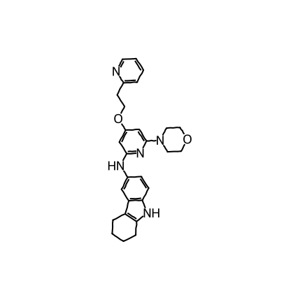 c1ccc(CCOc2cc(Nc3ccc4[nH]c5c(c4c3)CCCC5)nc(N3CCOCC3)c2)nc1